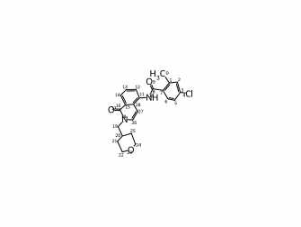 Cc1cc(Cl)ccc1C(=O)Nc1cccc2c(=O)n(CC3CCOCC3)ccc12